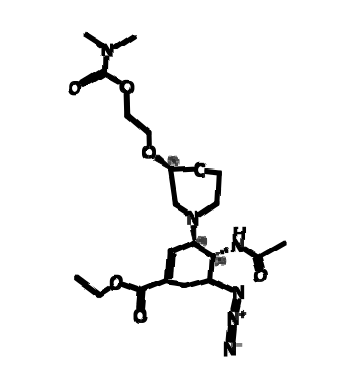 CCOC(=O)C1=C[C@@H](N2CCC[C@H](OCCOC(=O)N(C)C)C2)[C@H](NC(C)=O)C(N=[N+]=[N-])C1